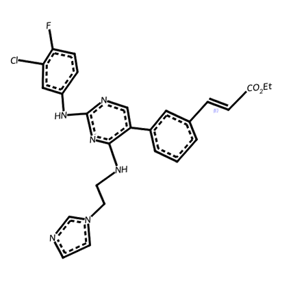 CCOC(=O)/C=C/c1cccc(-c2cnc(Nc3ccc(F)c(Cl)c3)nc2NCCn2ccnc2)c1